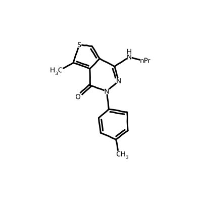 CCCNc1nn(-c2ccc(C)cc2)c(=O)c2c(C)scc12